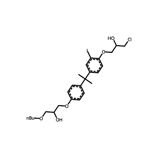 CCCCOCC(O)COc1ccc(C(C)(C)c2ccc(OCC(O)CCl)c(I)c2)cc1